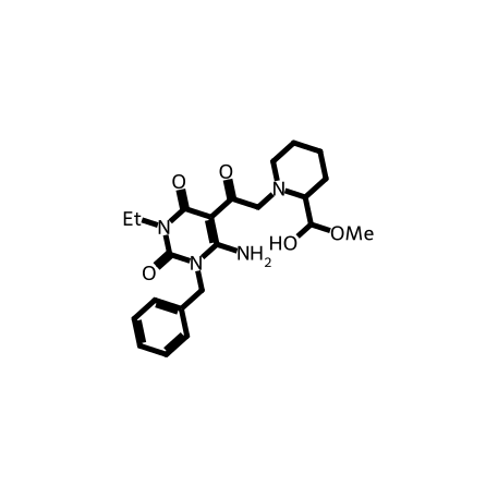 CCn1c(=O)c(C(=O)CN2CCCCC2C(O)OC)c(N)n(Cc2ccccc2)c1=O